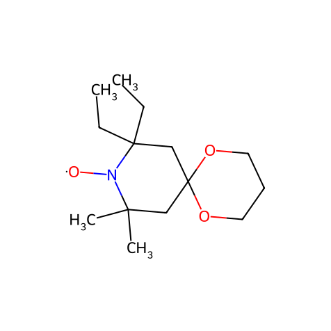 CCC1(CC)CC2(CC(C)(C)N1[O])OCCCO2